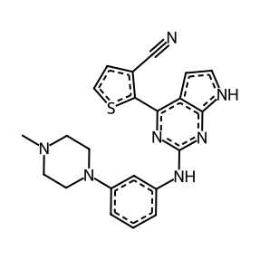 CN1CCN(c2cccc(Nc3nc(-c4sccc4C#N)c4cc[nH]c4n3)c2)CC1